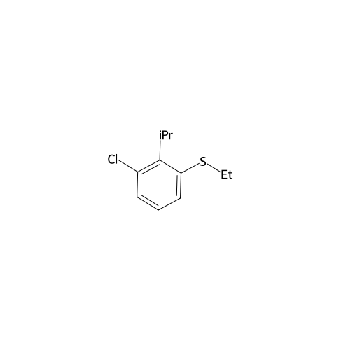 CCSc1cccc(Cl)c1C(C)C